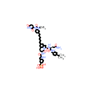 CC(C)c1ccc(CNC(=O)[C@H](CCC(N)=O)NC(=O)[C@@H]2Cc3cc(CCCCCCc4ccc5c(c4)n(C)c(=O)n5C4CCC(=O)NC4=O)cc4c3N2C(=O)[C@@H](NC(=O)c2cc3cc(C(=O)P(=O)(O)O)ccc3[nH]2)CC4)cc1